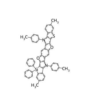 Cc1ccc(-n2c3c(c4oc5cc6c(cc5c42)oc2c4sc5cc(C)ccc5c4n(-c4ccc(C)cc4)c62)[Si](c2ccccc2)(c2ccccc2)c2cc(C)ccc2-3)cc1